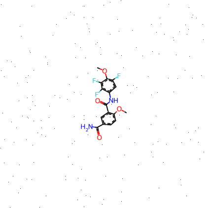 COc1ccc(C(N)=O)cc1C(=O)Nc1cc(F)c(OC)c(F)c1F